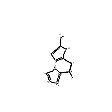 CC(C)c1cnc(CC(C)c2nccs2)s1